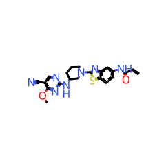 C=CC(=O)Nc1ccc2sc(N3CCCC(Nc4ncc(C#N)c(OC)n4)C3)nc2c1